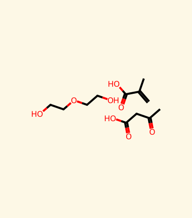 C=C(C)C(=O)O.CC(=O)CC(=O)O.OCCOCCO